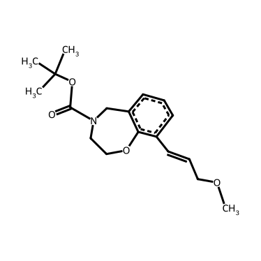 COC/C=C/c1cccc2c1OCCN(C(=O)OC(C)(C)C)C2